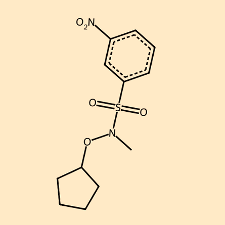 CN(OC1CCCC1)S(=O)(=O)c1cccc([N+](=O)[O-])c1